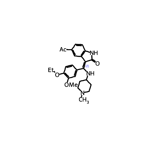 CCOc1ccc(/C(NC2CCN(C)CC2)=C2/C(=O)Nc3ccc(C(C)=O)cc32)cc1OC